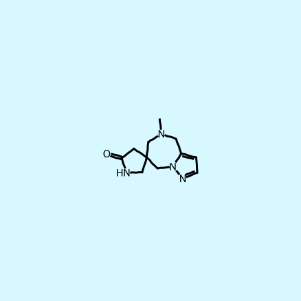 CN1Cc2ccnn2CC2(CNC(=O)C2)C1